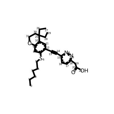 CCCCCCSc1cc2c(cc1C#Cc1ccc(CC(=O)O)nn1)C(CC)(CC)CCO2